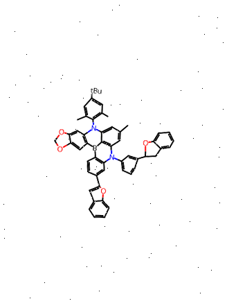 Cc1cc2c3c(c1)N(c1c(C)cc(C(C)(C)C)cc1C)c1cc4c(cc1B3c1ccc(-c3cc5ccccc5o3)cc1N2c1cccc(C2Cc3ccccc3O2)c1)OCO4